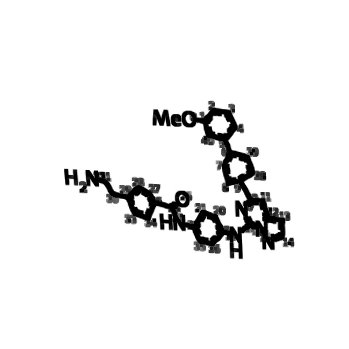 COc1cccc(-c2ccc(-c3cc4ccnn4c(Nc4ccc(NC(=O)c5ccc(CCN)cc5)cc4)n3)cc2)c1